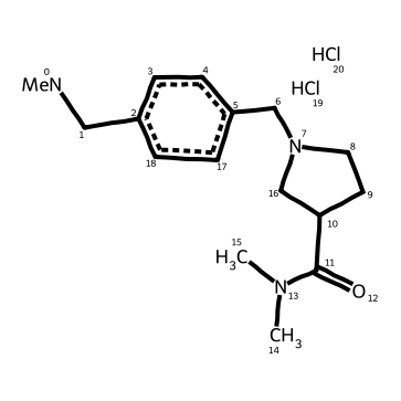 CNCc1ccc(CN2CCC(C(=O)N(C)C)C2)cc1.Cl.Cl